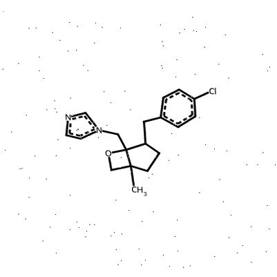 CC12CCC(Cc3ccc(Cl)cc3)C1(Cn1ccnc1)OC2